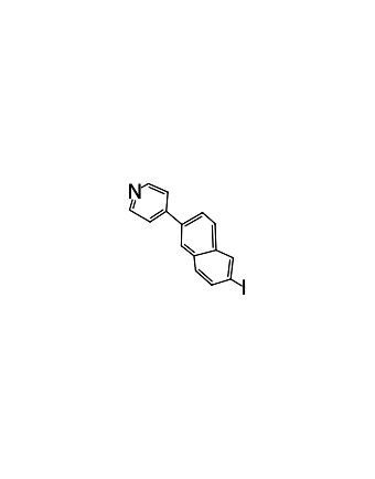 Ic1ccc2cc(-c3ccncc3)ccc2c1